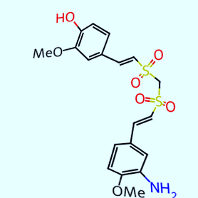 COc1ccc(C=CS(=O)(=O)CS(=O)(=O)C=Cc2ccc(O)c(OC)c2)cc1N